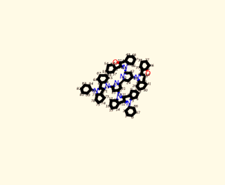 c1ccc(-n2c3ccccc3c3c2c2ccccc2n3-c2cc(-c3cc(-n4c5ccccc5c5oc6ccccc6c54)cc(-n4c5ccccc5c5oc6ccccc6c54)n3)nc(-n3c4ccccc4c4c3c3ccccc3n4-c3ccccc3)c2)cc1